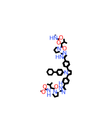 CNC(=O)O[C@H](C(=O)N1CCC[C@H]1c1ncc(-c2ccc(-c3ccc(-c4ccc(-c5cnc([C@@H]6CCCN6C(=O)[C@@H](NC(=O)OC)C(C)C)[nH]5)cc4)n3-c3ccc(C4CCCCC4)cc3)cc2)[nH]1)C(C)C